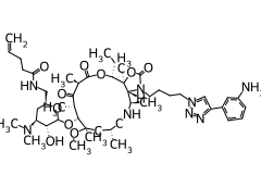 C=CCCC(=O)NC[C@@H]1C[C@H](N(C)C)[C@@H](O)C(O[C@@H]2[C@H](C)C(=O)[C@@H](C)C(=O)O[C@H](CC)[C@@]3(C)OC(=O)N(CCCCn4cc(-c5cccc(N)c5)nn4)[C@@H]3[C@@H](C)NC[C@H](C)C[C@@]2(C)OC)O1